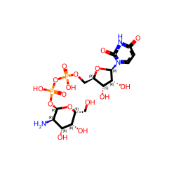 N[C@H]1[C@@H](OP(=O)(O)OP(=O)(O)OC[C@H]2O[C@@H](n3ccc(=O)[nH]c3=O)[C@H](O)[C@@H]2O)O[C@H](CO)[C@H](O)[C@@H]1O